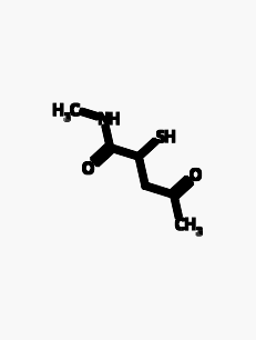 CNC(=O)C(S)CC(C)=O